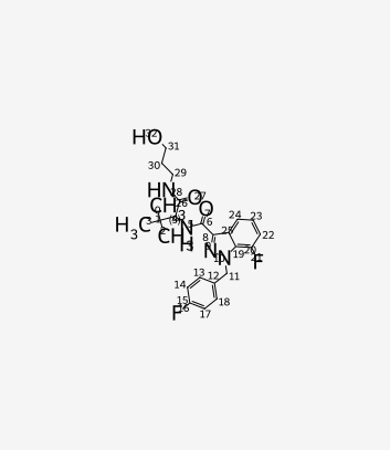 CC(C)(C)[C@H](NC(=O)c1nn(Cc2ccc(F)cc2)c2c(F)cccc12)C(=O)NCCCO